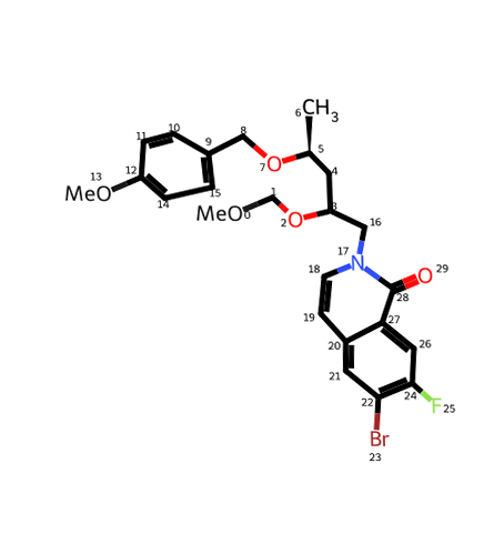 COCOC(C[C@H](C)OCc1ccc(OC)cc1)Cn1ccc2cc(Br)c(F)cc2c1=O